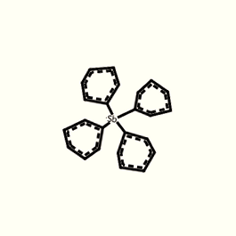 c1cc[c]([Sb]([c]2ccccc2)([c]2ccccc2)[c]2ccccc2)cc1